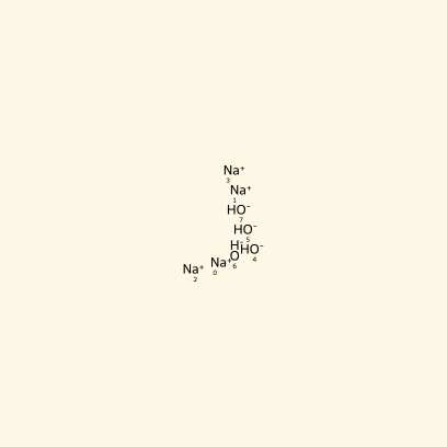 [Na+].[Na+].[Na+].[Na+].[OH-].[OH-].[OH-].[OH-]